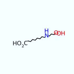 O=C(O)CCCCCCCCNCCCOO